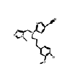 COc1cc(CCCN(Cc2cncn2C)c2ccc(C#N)cn2)ccc1Br